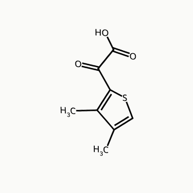 Cc1csc(C(=O)C(=O)O)c1C